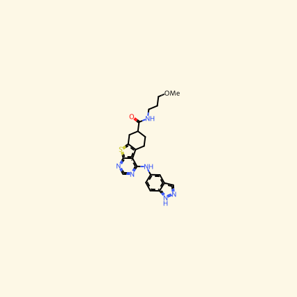 COCCCNC(=O)C1CCc2c(sc3ncnc(Nc4ccc5[nH]ncc5c4)c23)C1